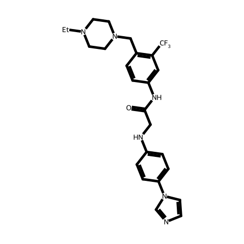 CCN1CCN(Cc2ccc(NC(=O)CNc3ccc(-n4ccnc4)cc3)cc2C(F)(F)F)CC1